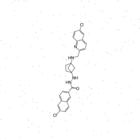 O=C(NNC12CCC(NCc3ccc4cc(Cl)ccc4n3)(C1)C2)c1ccc2cc(Cl)ccc2c1